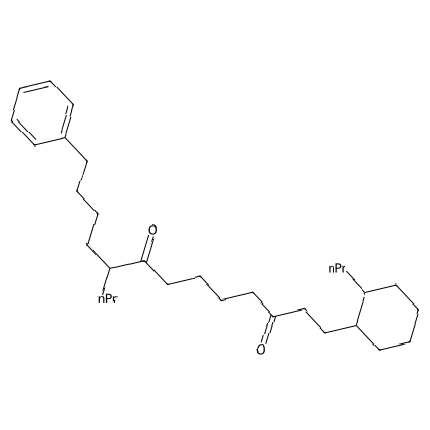 CCCC(CCCCc1ccccc1)C(=O)CCCCC(=O)CCC1CCCCC1CCC